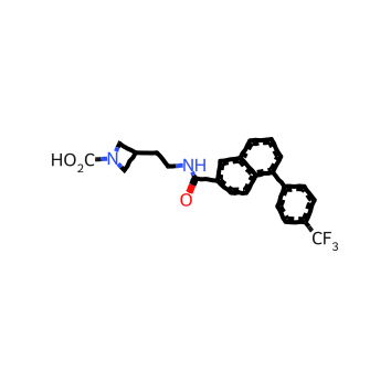 O=C(NCCC1CN(C(=O)O)C1)c1ccc2c(-c3ccc(C(F)(F)F)cc3)cccc2c1